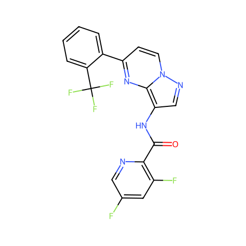 O=C(Nc1cnn2ccc(-c3ccccc3C(F)(F)F)nc12)c1ncc(F)cc1F